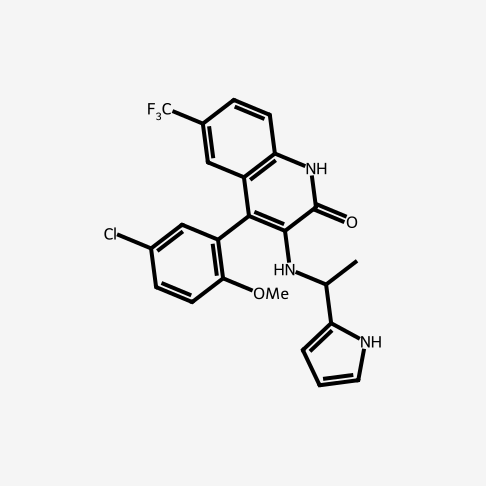 COc1ccc(Cl)cc1-c1c(NC(C)c2ccc[nH]2)c(=O)[nH]c2ccc(C(F)(F)F)cc12